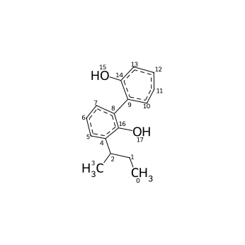 CCC(C)c1cccc(-c2ccccc2O)c1O